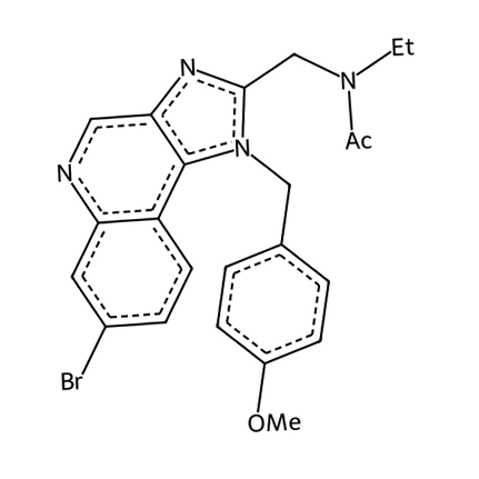 CCN(Cc1nc2cnc3cc(Br)ccc3c2n1Cc1ccc(OC)cc1)C(C)=O